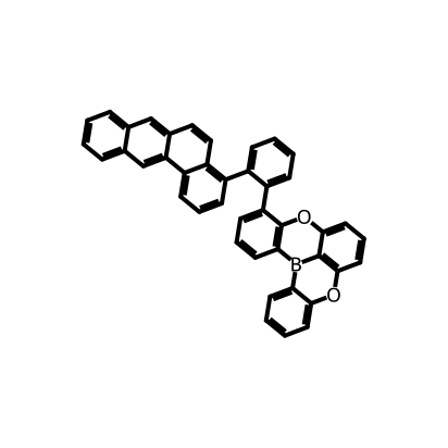 c1ccc2c(c1)Oc1cccc3c1B2c1cccc(-c2ccccc2-c2cccc4c2ccc2cc5ccccc5cc24)c1O3